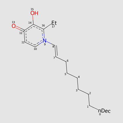 CCCCCCCCCCCCCCCCC=Cn1ccc(=O)c(O)c1CC